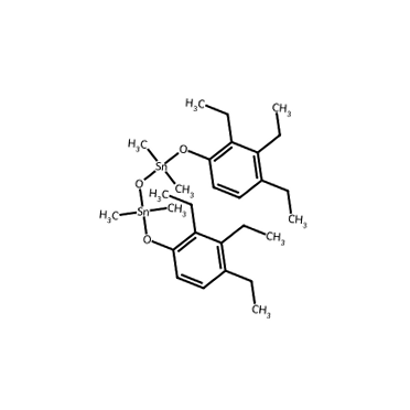 CCc1ccc([O][Sn]([CH3])([CH3])[O][Sn]([CH3])([CH3])[O]c2ccc(CC)c(CC)c2CC)c(CC)c1CC